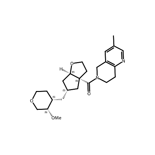 CO[C@@H]1COCC[C@@H]1C[C@@H]1C[C@H]2OCC[C@@]2(C(=O)N2CCc3ncc(C)cc3C2)C1